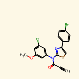 C#CC(=O)N(c1cc(Cl)cc(OC)c1)c1nc(-c2ccc(Br)cc2)cs1